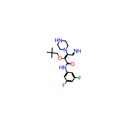 CC(C)(C)CO/C(C(=O)Nc1cc(F)cc(F)c1)=C(/C=N)N1CCNCC1